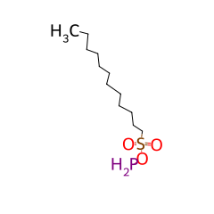 CCCCCCCCCCCCS(=O)(=O)OP